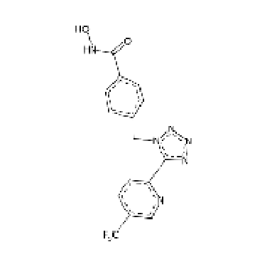 O=C(NO)c1ccc(Cn2nnnc2-c2ccc(C(F)(F)F)cn2)cc1